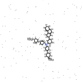 CC(C)(C)c1ccc(-c2ccc(N(c3ccc(-c4ccc(C(C)(C)C)cc4)cc3)c3cccc(-c4ccc5c(ccc6ccccc65)c4)c3)cc2)cc1